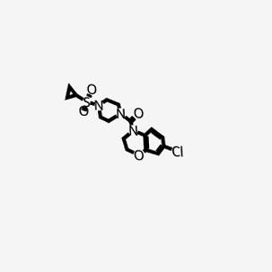 O=C(N1CCN(S(=O)(=O)C2CC2)CC1)N1CCOc2cc(Cl)ccc21